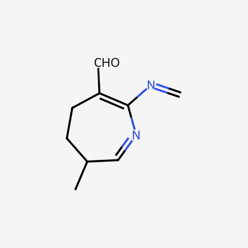 C=NC1=C(C=O)CCC(C)C=N1